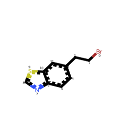 BrCCc1ccc2ncsc2c1